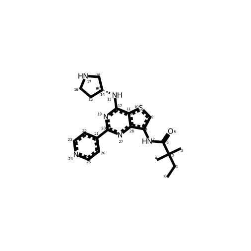 CCC(C)(C)C(=O)Nc1csc2c(N[C@@H]3CCNC3)nc(-c3ccncc3)nc12